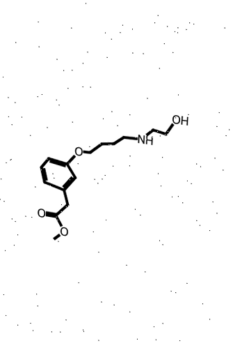 COC(=O)Cc1cccc(OCCCCNCCO)c1